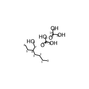 CCCCC(CC)CO.O=C(O)O.O=C(O)O